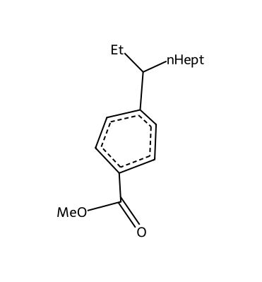 CCCCCCCC(CC)c1ccc(C(=O)OC)cc1